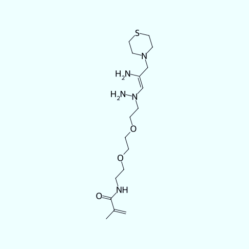 C=C(C)C(=O)NCCOCCOCCN(N)/C=C(\N)CN1CCSCC1